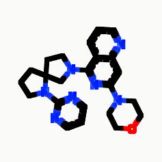 c1cnc(N2CCCC23CCN(c2nc(N4CCOCC4)cc4ncccc24)C3)nc1